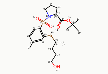 Cc1ccc(S(=O)(=O)N2CCC[C@H]2C(=O)OC(C)(C)C)c(S[C@H](C)CCCO)c1